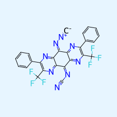 [C-]#[N+]N=C1c2nc(-c3ccccc3)c(C(F)(F)F)nc2C(=NC#N)c2nc(C(F)(F)F)c(-c3ccccc3)nc21